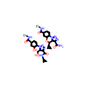 CCNC(=O)c1ccc(-n2nnc(C(=O)NC3CC3)c2CO)c(O)c1.CCNC(=O)c1ccc2c(c1)OC(C1CC1)c1c(C(N)=O)nnn1-2